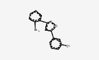 N#Cc1cccc(-c2cc(-c3ccccc3N)no2)c1